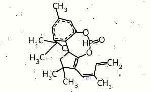 C=C/C(C)=C\C1=C2O[PH](=O)Oc3cc(C)cc4c3C2(CC1(C)C)CC4(C)C